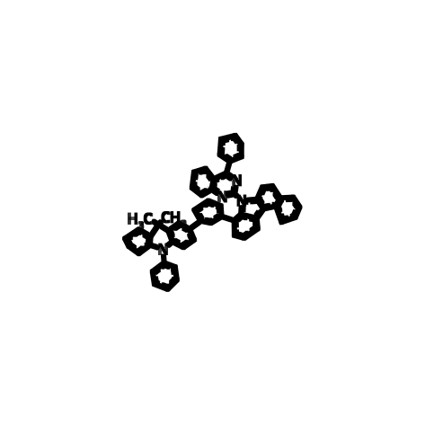 CC1(C)c2ccccc2N(c2ccccc2)c2ccc(-c3cccc(-c4cccc5c6c7ccccc7ccc6n(-c6nc(-c7ccccc7)c7ccccc7n6)c45)c3)cc21